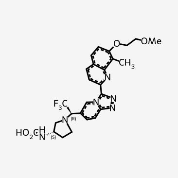 COCCOc1ccc2ccc(-c3nnc4ccc([C@@H](N5CC[C@H](NC(=O)O)C5)C(F)(F)F)cn34)nc2c1C